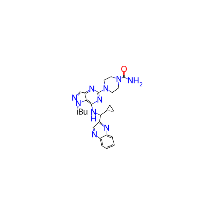 CC[C@H](C)n1ncc2nc(N3CCN(C(N)=O)CC3)nc(NC(c3cnc4ccccc4n3)C3CC3)c21